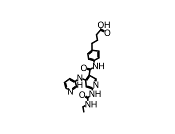 CCNC(=O)Nc1cc(Nc2cccnc2)c(C(=O)Nc2ccc(CCCC(=O)O)cc2)cn1